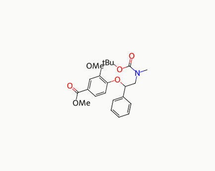 COC(=O)c1ccc(OC(CN(C)C(=O)OC(C)(C)C)c2ccccc2)c(OC)c1